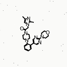 Cc1cn(CC(=O)N2CCN(c3ccccc3-c3cnc(N4CCOCC4)nc3)CC2)c(C)n1